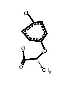 C[C@@H](Oc1ccc(Cl)cc1)C(=O)Cl